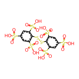 O=S(=O)(O)c1cc(S(=O)(=O)O)c(SSc2c(S(=O)(=O)O)cc(S(=O)(=O)O)cc2S(=O)(=O)O)c(S(=O)(=O)O)c1